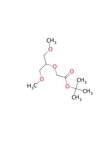 COCC(COC)OCC(=O)OC(C)(C)C